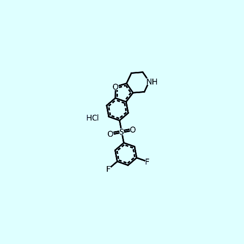 Cl.O=S(=O)(c1cc(F)cc(F)c1)c1ccc2oc3c(c2c1)CNCC3